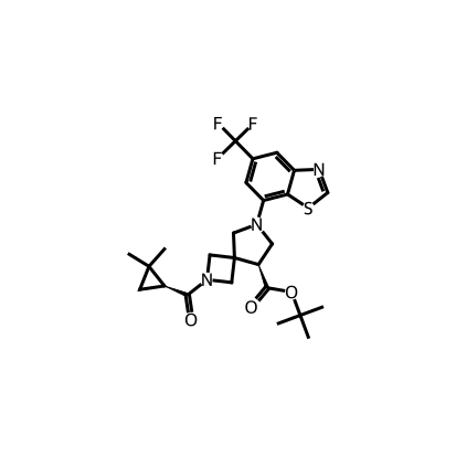 CC(C)(C)OC(=O)[C@@H]1CN(c2cc(C(F)(F)F)cc3ncsc23)CC12CN(C(=O)[C@H]1CC1(C)C)C2